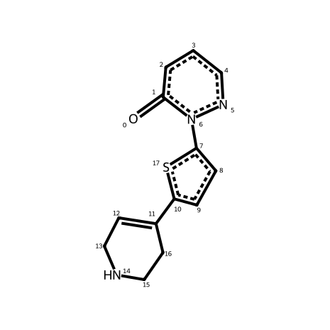 O=c1cccnn1-c1ccc(C2=CCNCC2)s1